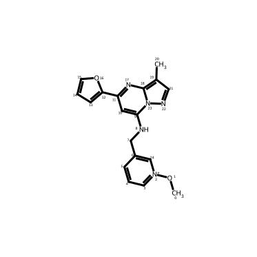 CO[n+]1cccc(CNc2cc(-c3ccco3)nc3c(C)cnn23)c1